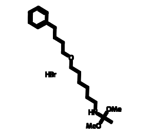 Br.COC(C)(NCCCCCCOCCCCc1ccccc1)OC